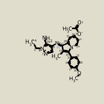 CC(=O)[O-].CCn1ncc(/N=C2\C(C)=C(c3ccc(OC)cc3)[n+]3ccccc32)c1N